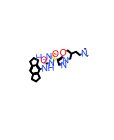 CN(C)CCC1COc2c(S(N)(=O)=NC(=O)Nc3c4c(cc5c3CCC5)CCC4)cnn2C1